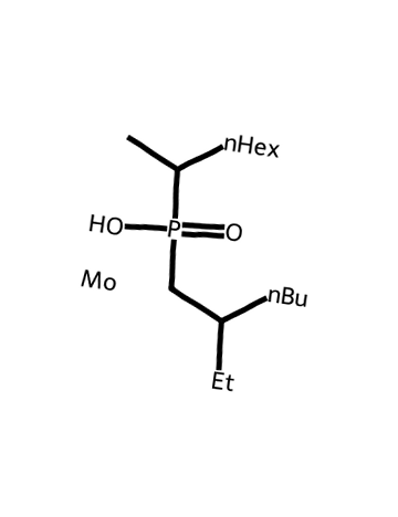 CCCCCCC(C)P(=O)(O)CC(CC)CCCC.[Mo]